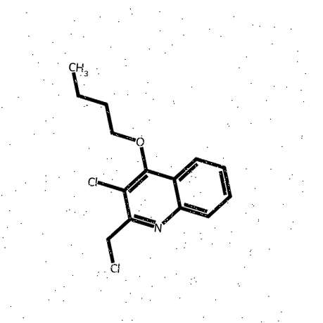 CCCCOc1c(Cl)c(CCl)nc2ccccc12